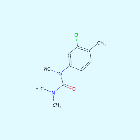 Cc1ccc(N(C#N)C(=O)N(C)C)cc1Cl